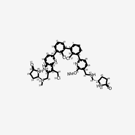 COc1nc(-c2cccc(-c3cccc(-c4ccc5[nH]c(CN(C)[C@H]6CCC(=O)N6)c(CCl)c5n4)c3Cl)c2Cl)ccc1CNC[C@@H]1CCC(=O)N1